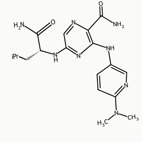 CC(C)C[C@@H](Nc1cnc(C(N)=O)c(Nc2ccc(N(C)C)nc2)n1)C(N)=O